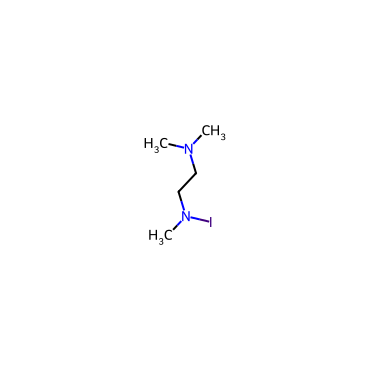 CN(C)CCN(C)I